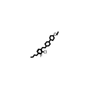 CCCCc1ccc(CCC2CCC(C3CCC(OCC)CC3)CC2)c(Cl)c1F